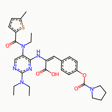 CCN(CC)c1ncc(N(CC)C(=O)c2ccc(C)s2)c(N/C(=C/c2ccc(OC(=O)N3CCCC3)cc2)C(=O)O)n1